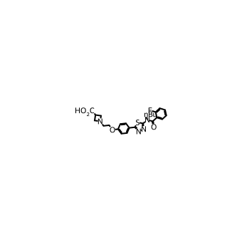 CCCCN(C(=O)c1ccccc1F)c1nnc(-c2ccc(OCCN3CC(C(=O)O)C3)cc2)s1